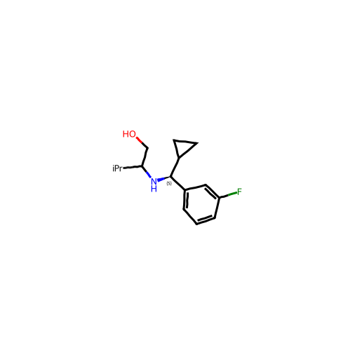 CC(C)C(CO)N[C@H](c1cccc(F)c1)C1CC1